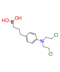 OB(O)CCCc1ccc(N(CCCl)CCCl)cc1